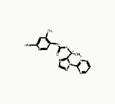 CCCCc1cc(C)c(NC(=O)N[C@@H](C)c2ncnn2-c2ncccn2)cn1